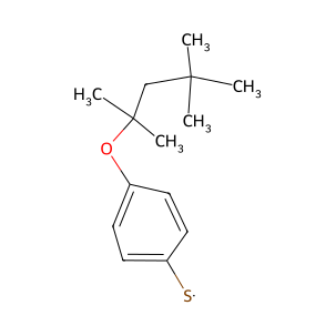 CC(C)(C)CC(C)(C)Oc1ccc([S])cc1